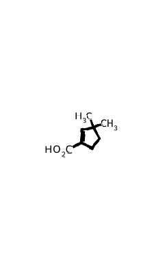 CC1(C)C=C(C(=O)O)CC1